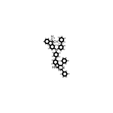 CC1(C)c2ccccc2-c2ccc(N(c3ccc(-c4ccc5[nH]c6nc(-c7ccccc7)nc(-c7ccccc7)c6c5c4)cc3)c3cccc(-c4ccccc4)c3)cc21